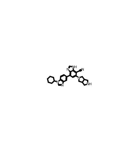 N#Cc1c(N2CC3CNCC3C2)cc(-c2ccc3c(c2)ncn3C2CCCCC2)c2nc[nH]c12